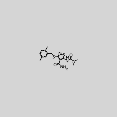 Cc1ccc(C)c(CSc2nsc(NC(=O)N(C)C)c2C(N)=O)c1